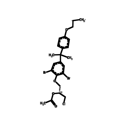 [CH2][CH]COc1ccc(C(C)(C)c2cc(Br)c(OC[C@H](CCl)OC(C)=O)c(Br)c2)cc1